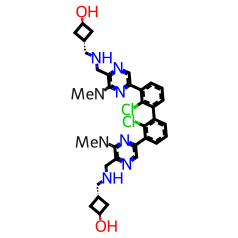 CNc1nc(-c2cccc(-c3cccc(-c4cnc(CNC[C@H]5C[C@H](O)C5)c(NC)n4)c3Cl)c2Cl)cnc1CNC[C@H]1C[C@H](O)C1